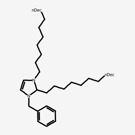 CCCCCCCCCCCCCCCCCC1N(CCCCCCCCCCCCCCCCC)C=CN1Cc1ccccc1